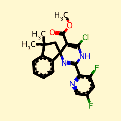 COC(=O)C1=C(Cl)NC(c2ncc(F)cc2F)=NC12CC(C)(C)c1ccccc12